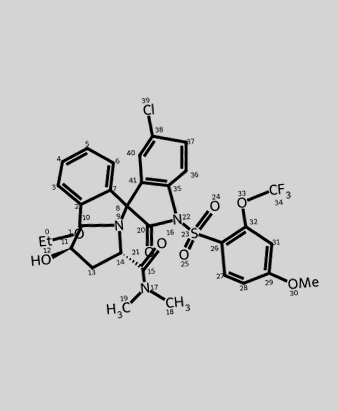 CCOc1ccccc1C1(N2C[C@H](O)C[C@H]2C(=O)N(C)C)C(=O)N(S(=O)(=O)c2ccc(OC)cc2OC(F)(F)F)c2ccc(Cl)cc21